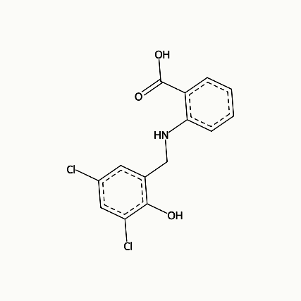 O=C(O)c1ccccc1NCc1cc(Cl)cc(Cl)c1O